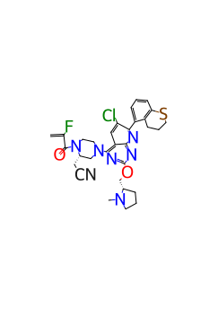 C=C(F)C(=O)N1CCN(c2nc(OC[C@@H]3CCCN3C)nc3nc(-c4cccc5c4CCCS5)c(Cl)cc23)C[C@@H]1CC#N